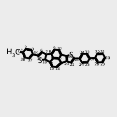 Cc1ccc(C2=CC3c4ccc5c6c(ccc(c46)C3S2)-c2cc(-c3ccc(-c4ccccc4)cc3)sc2-5)cc1